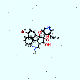 CCN(CC)CC1C(O)C2(O)c3c(OC)cncc3OC2(c2ccc(Br)cc2)C1c1ccccc1